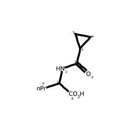 CCCC(NC(=O)C1CC1)C(=O)O